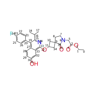 CCOC(=O)CN1CCC2(CC(Oc3nc(C(C)C)c(-c4ccc(F)cc4)c4ccc(O)cc34)C2)C1=O